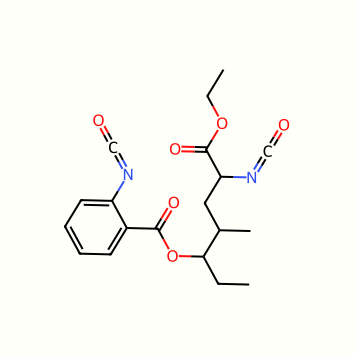 CCOC(=O)C(CC(C)C(CC)OC(=O)c1ccccc1N=C=O)N=C=O